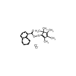 CC1=C(C)C(C)(C)[C]([Ti+2][O]C(=O)c2cccc3ccccc23)=C1C.[Cl-].[Cl-]